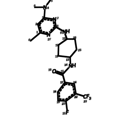 Cc1cc(N(C)C)nc(NC2CCC(NC(=O)c3ccc(F)c(C(F)(F)F)c3)CC2)n1